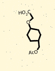 CC(=O)OCC1CCC(OCC(=O)O)CC1